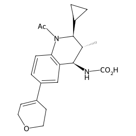 CC(=O)N1c2ccc(C3=CCOCC3)cc2[C@H](NC(=O)O)[C@@H](C)[C@@H]1C1CC1